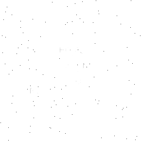 CC(C)(C)C1CCC(OC(=O)N2c3ccccc3C[C@@H]2C(=O)O)CC1